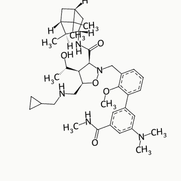 CNC(=O)c1cc(-c2cccc(CN3O[C@@H](CNCC4CC4)[C@@H]([C@H](C)O)[C@H]3C(=O)N[C@H]3C[C@H]4C[C@@H]([C@@H]3C)C4(C)C)c2OC)cc(N(C)C)c1